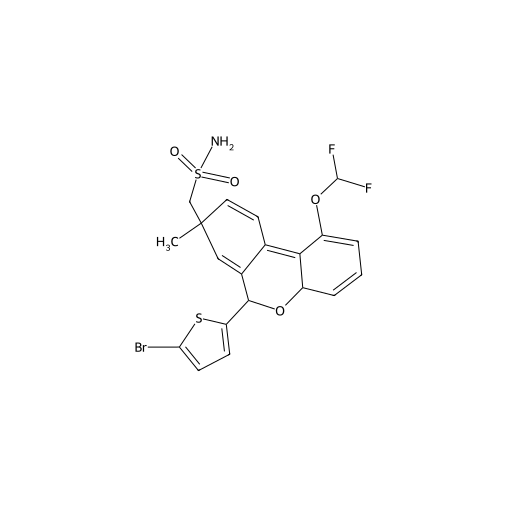 CC1(CS(N)(=O)=O)C=CC2=C3C(OC(F)F)=CC=CC3OC(c3ccc(Br)s3)C2=C1